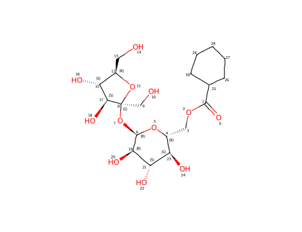 O=C(OC[C@H]1O[C@H](O[C@]2(CO)O[C@H](CO)[C@@H](O)[C@@H]2O)[C@H](O)[C@@H](O)[C@@H]1O)C1CCCCC1